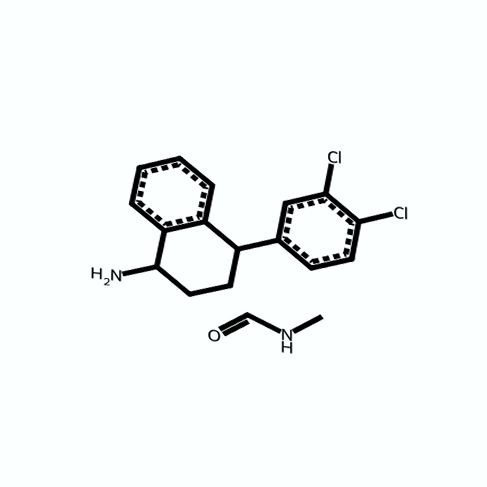 CNC=O.NC1CCC(c2ccc(Cl)c(Cl)c2)c2ccccc21